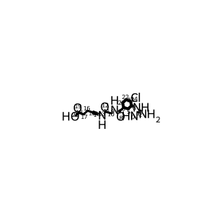 N=C(N)Nc1cc(C(=O)NCC(=O)NC#CCCC(=O)O)ccc1Cl